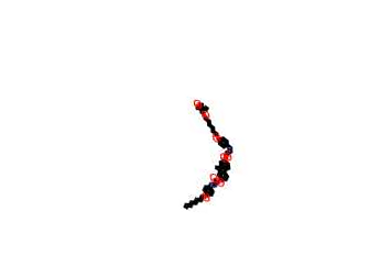 CCCCCCCCOc1ccc(/C=C/C(=O)Oc2ccc3c(c2)C(C)c2cc(OOC/C=C\c4ccc(OCCCCCCOCC5(CC)COC5)cc4)ccc2-3)cc1